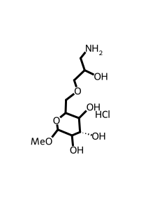 COC1OC(COCC(O)CN)C(O)[C@H](O)C1O.Cl